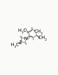 C=C/C=C(\C(C)=C/C)N1CP(C)C1